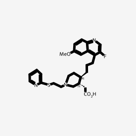 COc1ccc2ncc(F)c(CCC[C@@H]3CCN(CCSc4ccccn4)C[C@H]3CC(=O)O)c2c1